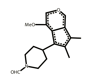 COc1cocc2c(C)c(C)c(C3CCN(C=O)CC3)c1-2